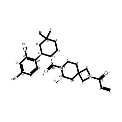 C=CC(=O)N1CC2(CCN(C(=O)[C@H]3CCC(C)(C)C[C@@H]3c3ccc(F)cc3Cl)[C@@H](C)C2)C1